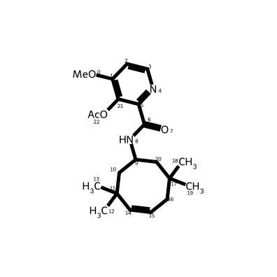 COc1ccnc(C(=O)NC2CC(C)(C)/C=C\CC(C)(C)C2)c1OC(C)=O